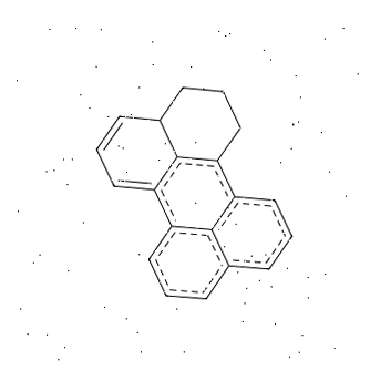 C1=CC2CCCc3c2c(c2cccc4cccc3c42)=C1